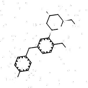 O=C(O)c1ccc(Cc2ccc(CO)c([C@@H]3O[C@H](CO)[C@@H](O)[C@H](O)[C@H]3O)c2)cc1